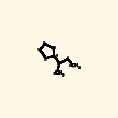 C[CH]C(C)C1CCCC1